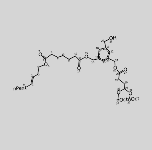 CCCCCC=CCCOC(=O)CCCCCC(=O)OCc1cc(CO)cc(COC(=O)CCC(OCCCCCCCC)OCCCCCCCC)c1